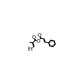 CCC=C(C)C(=O)OC(=O)C=Cc1ccccc1